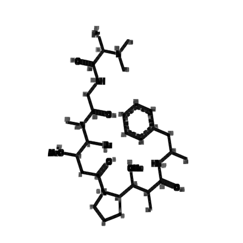 CCC(C)C(C(CC(=O)N1CCCC1C(OC)C(C)C(=O)NC(C)Cc1ccccc1)OC)N(C)C(=O)CNC(=O)C(C(C)C)N(C)C